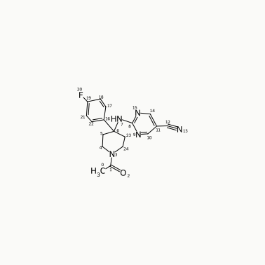 CC(=O)N1CCC(Nc2ncc(C#N)cn2)(c2ccc(F)cc2)CC1